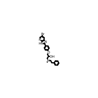 CN(CCc1ccccc1)CC(O)COc1ccc(-c2nc3cc(Br)cnc3[nH]2)cc1